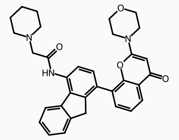 O=C(CN1CCCCC1)Nc1ccc(-c2cccc3c(=O)cc(N4CCOCC4)oc23)c2c1-c1ccccc1C2